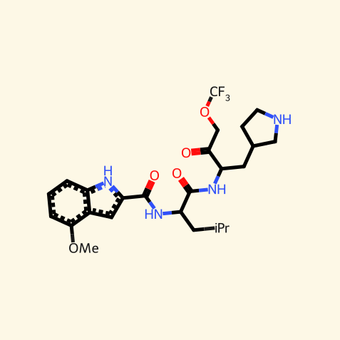 COc1cccc2[nH]c(C(=O)NC(CC(C)C)C(=O)NC(CC3CCNC3)C(=O)COC(F)(F)F)cc12